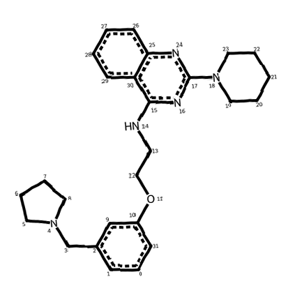 c1cc(CN2CCCC2)cc(OCCNc2nc(N3CCCCC3)nc3ccccc23)c1